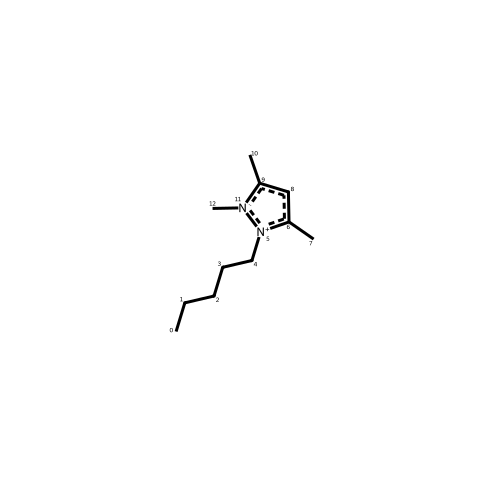 CCCCC[n+]1c(C)cc(C)n1C